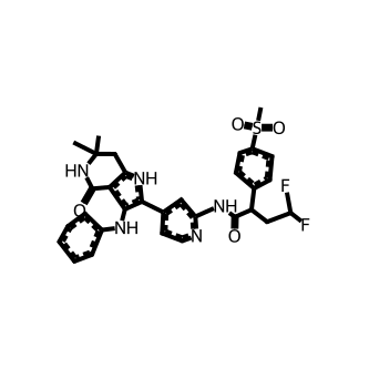 CC1(C)Cc2[nH]c(-c3ccnc(NC(=O)C(CC(F)F)c4ccc(S(C)(=O)=O)cc4)c3)c(Nc3ccccc3)c2C(=O)N1